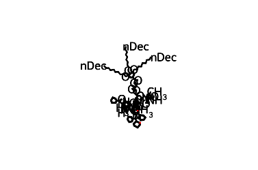 CCCCCCCCCCCCCCCCCCOc1cc(C(=O)OCC(=O)OCC2CN(P(=O)(OCC3CN(C(c4ccccc4)(c4ccccc4)c4ccccc4)CC(n4cnc5c(NC(=O)c6ccccc6)ncnc54)O3)N(C)C)CC(n3cc(C)c(=O)[nH]c3=O)O2)cc(OCCCCCCCCCCCCCCCCCC)c1OCCCCCCCCCCCCCCCCCC